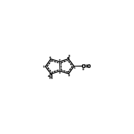 O=Cc1cc2[nH]ccc2s1